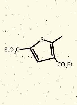 CCOC(=O)c1cc(C(=O)OCC)c(C)s1